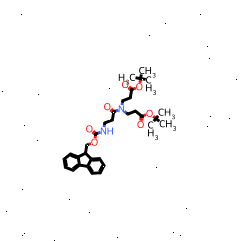 CC(C)(C)OC(=O)CCN(CCC(=O)OC(C)(C)C)C(=O)CCNC(=O)OCC1c2ccccc2-c2ccccc21